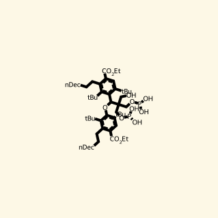 CCCCCCCCCCCCc1c(C(=O)OCC)cc(C(C)(C)C)c(OC(c2c(C(C)(C)C)cc(C(=O)OCC)c(CCCCCCCCCCCC)c2C(C)(C)C)C(CO)(COP(O)O)COP(O)O)c1C(C)(C)C